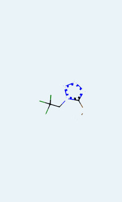 CSc1nnnn1CC(F)(F)F